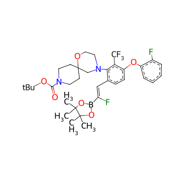 CC(C)(C)OC(=O)N1CCC2(CC1)CN(c1c(/C=C(\F)B3OC(C)(C)C(C)(C)O3)ccc(Oc3ccccc3F)c1C(F)(F)F)CCO2